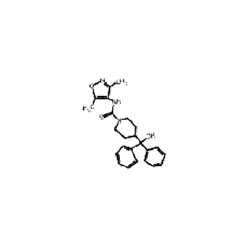 Cc1noc(C)c1NC(=S)N1CCC(C(O)(c2ccccc2)c2ccccc2)CC1